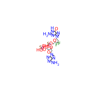 Nc1nc2c(ncn2[C@H]2CC(F)(F)[C@@H](COP(O)(=S)O[C@H]3C[C@H](n4cnc5c(N)ncnc54)OC3COP(O)(O)=S)O2)c(=O)[nH]1